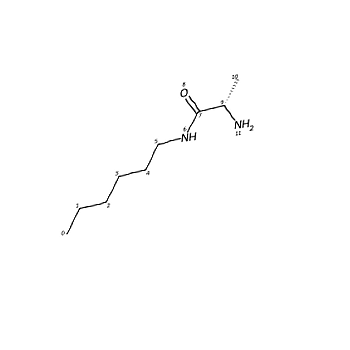 CCCCCCNC(=O)[C@H](C)N